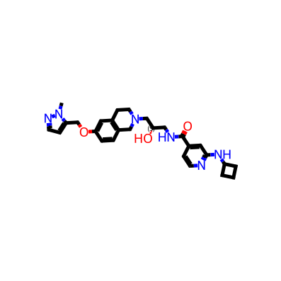 Cn1nccc1COc1ccc2c(c1)CCN(C[C@@H](O)CNC(=O)c1ccnc(NC3CCC3)c1)C2